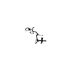 CON(C)C(=O)C[C@H](C)C[C@H](C)C(C)(C)C